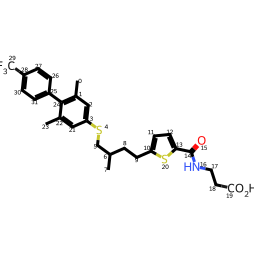 Cc1cc(SCC(C)CCc2ccc(C(=O)NCCC(=O)O)s2)cc(C)c1-c1ccc(C(F)(F)F)cc1